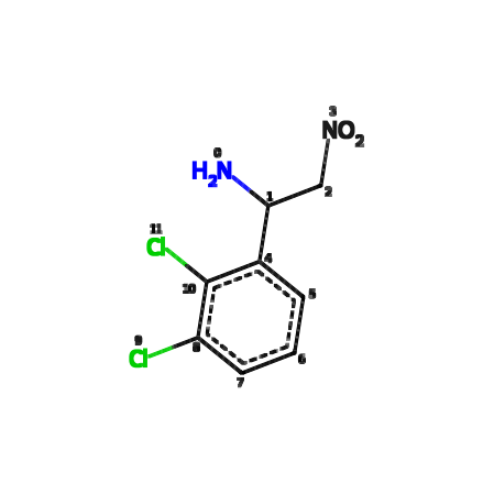 NC(C[N+](=O)[O-])c1cccc(Cl)c1Cl